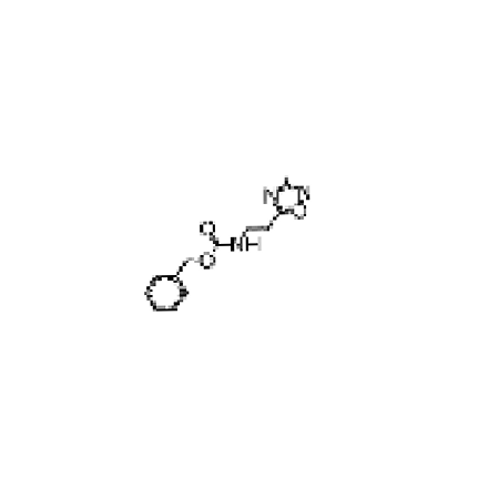 O=C(NCCc1n[c]no1)OCc1ccccc1